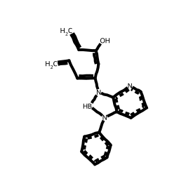 C=C/C=C(\C=C(\O)C=C)N1BN(c2ccccc2)c2cccnc21